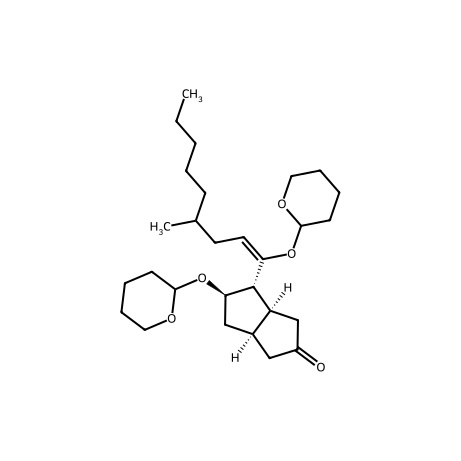 CCCCCC(C)C/C=C(/OC1CCCCO1)[C@@H]1[C@H]2CC(=O)C[C@H]2C[C@H]1OC1CCCCO1